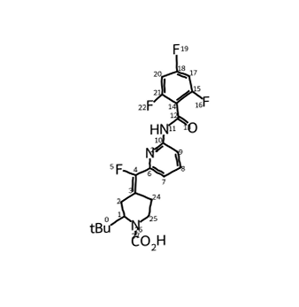 CC(C)(C)C1CC(=C(F)c2cccc(NC(=O)c3c(F)cc(F)cc3F)n2)CCN1C(=O)O